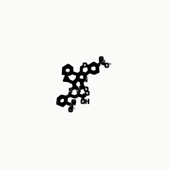 O=C(O)C1CC(c2ccccc2[N+](=O)[O-])Sc2c(C3CC3)c3c(-c4ccccc4)c4c(nc3c(=O)n21)-c1ccc([N+](=O)[O-])cc1OC4